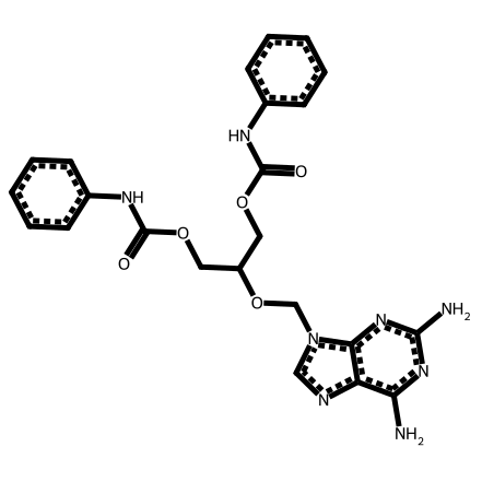 Nc1nc(N)c2ncn(COC(COC(=O)Nc3ccccc3)COC(=O)Nc3ccccc3)c2n1